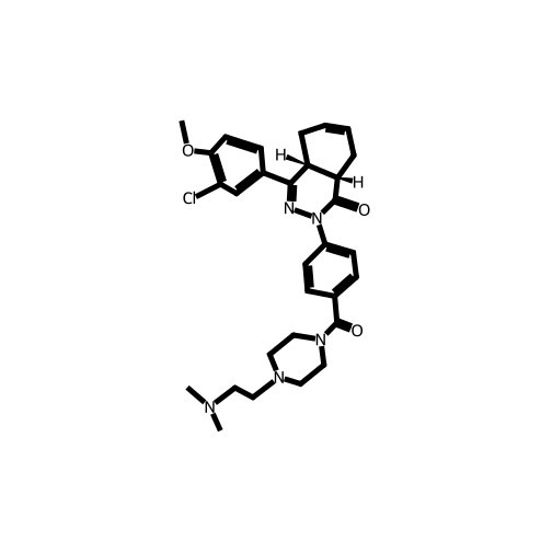 COc1ccc(C2=NN(c3ccc(C(=O)N4CCN(CCN(C)C)CC4)cc3)C(=O)[C@H]3CC=CC[C@@H]23)cc1Cl